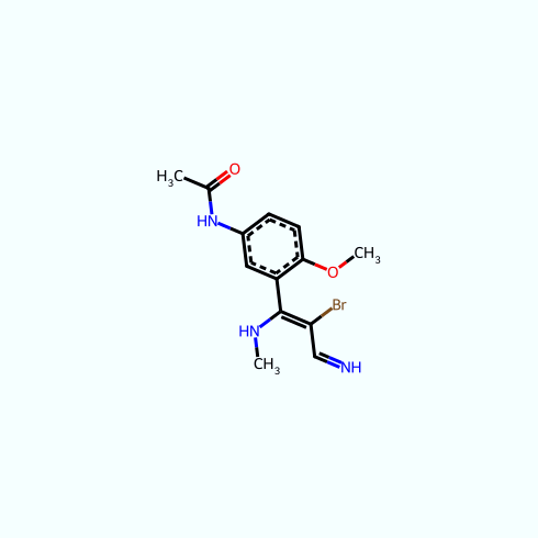 CN/C(=C(/Br)C=N)c1cc(NC(C)=O)ccc1OC